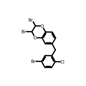 Clc1ccc(Br)cc1Cc1ccc2c(c1)OC(Br)C(Br)O2